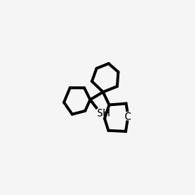 SC1(C2(C3CCCCC3)CCCCC2)CCCCC1